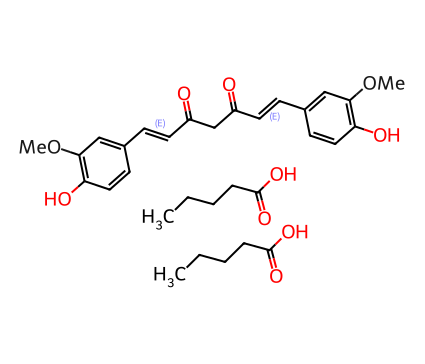 CCCCC(=O)O.CCCCC(=O)O.COc1cc(/C=C/C(=O)CC(=O)/C=C/c2ccc(O)c(OC)c2)ccc1O